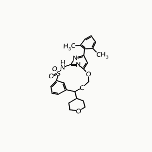 Cc1cccc(C)c1-c1cc2nc(n1)NS(=O)(=O)c1cccc(c1)C(C1CCOCC1)CCO2